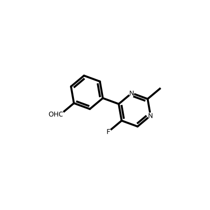 Cc1ncc(F)c(-c2cccc(C=O)c2)n1